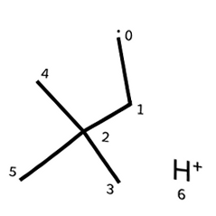 [CH2]CC(C)(C)C.[H+]